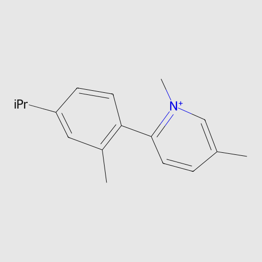 Cc1ccc(-c2ccc(C(C)C)cc2C)[n+](C)c1